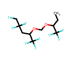 CCC(OCOC(CC(F)(F)CF)C(F)(F)F)C(F)(F)F